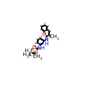 CC(=Cc1ccccc1)C(=O)Nc1cccc(NC(=O)OC(C)(C)C)c1